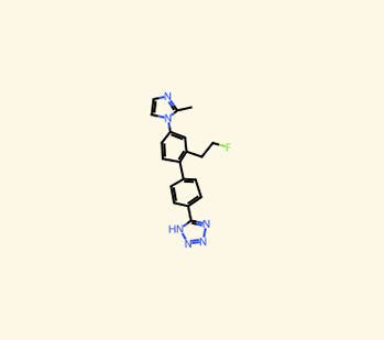 Cc1nccn1-c1ccc(-c2ccc(-c3nnn[nH]3)cc2)c(CCF)c1